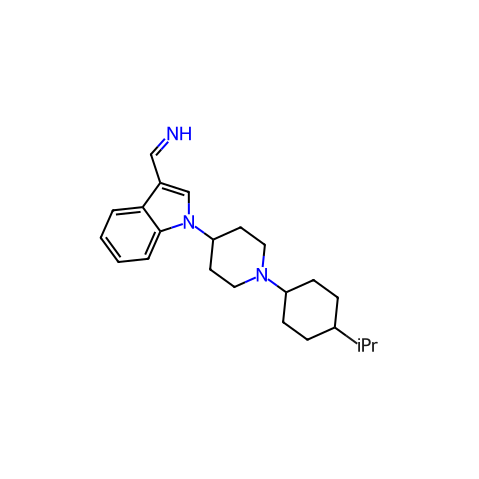 CC(C)C1CCC(N2CCC(n3cc(C=N)c4ccccc43)CC2)CC1